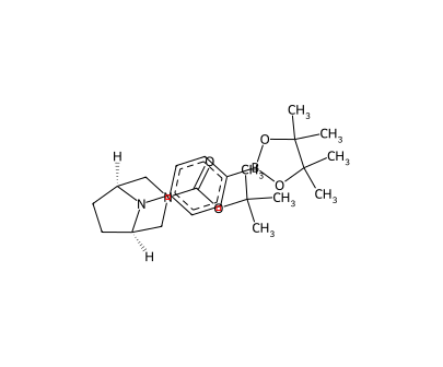 CC(C)(C)OC(=O)N1C[C@H]2CC[C@@H](C1)N2c1ccc(B2OC(C)(C)C(C)(C)O2)cc1